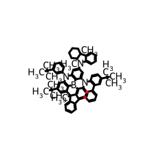 CC(C)(C)c1cccc(N2c3cc(N4c5ccccc5C5(C)CCCCC45C)cc4c3B3c5c2cc(C(C)(C)C)cc5C2(C)c5ccccc5-c5ccc(c3c52)N4c2ccc(C(C)(C)C)cc2-c2ccccc2)c1